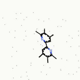 Cc1cc(-c2cc(C)c(C)c(C)n2)nc(C)c1C